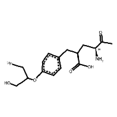 CC(=O)[C@@H](N)CC(Cc1ccc(OC(CO)C[18F])cc1)C(=O)O